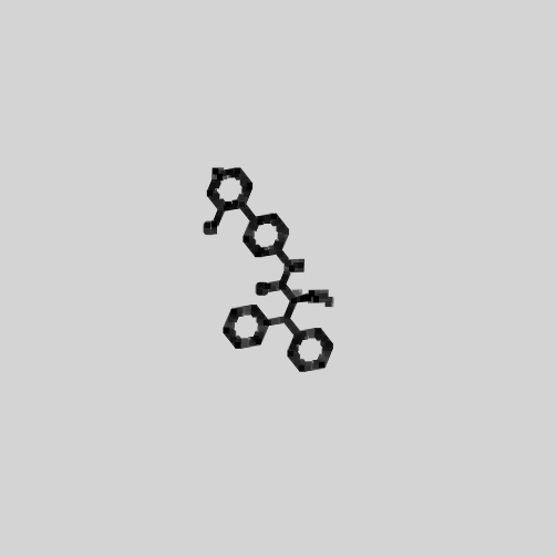 N[C@H](C(=O)Nc1ccc(-c2ccncc2Cl)cc1)C(c1ccccc1)c1ccccc1